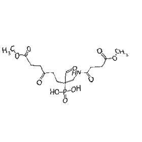 COC(=O)CCC(=O)CCC(C=O)(CNC(=O)CCC(=O)OC)P(=O)(O)O